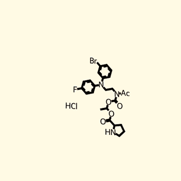 CC(=O)N(CCN(c1ccc(F)cc1)c1cccc(Br)c1)C(=O)OC(C)OC(=O)C1CCCN1.Cl